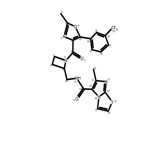 Cc1nc(C(=O)N2CCC2CNC(=O)c2c(C)nc3sccn23)c(-c2cccc(C(F)(F)F)c2)o1